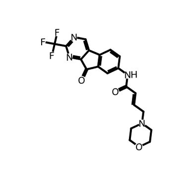 O=C(/C=C/CN1CCOCC1)Nc1ccc2c(c1)C(=O)c1nc(C(F)(F)F)ncc1-2